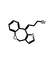 BrCCC=C1c2ccccc2OCc2ccsc21